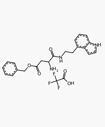 NC(CC(=O)OCc1ccccc1)C(=O)NCCc1cccc2[nH]ccc12.O=C(O)C(F)(F)F